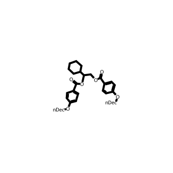 CCCCCCCCCCOc1ccc(C(=O)OCC(OC(=O)c2ccc(OCCCCCCCCCC)cc2)C2CCCCC2)cc1